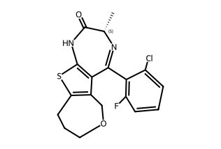 C[C@@H]1N=C(c2c(F)cccc2Cl)c2c(sc3c2COCCC3)NC1=O